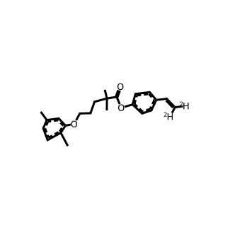 [2H]C([2H])=Cc1ccc(OC(=O)C(C)(C)CCCOc2cc(C)ccc2C)cc1